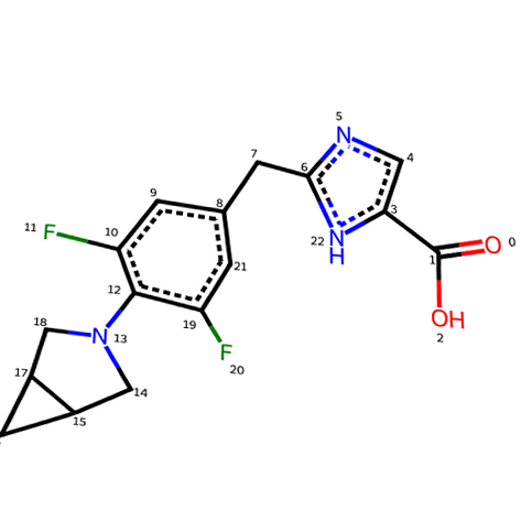 O=C(O)c1cnc(Cc2cc(F)c(N3CC4CC4C3)c(F)c2)[nH]1